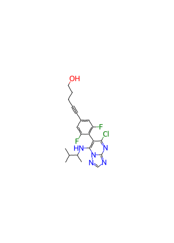 CC(C)C(C)Nc1c(-c2c(F)cc(C#CCCCO)cc2F)c(Cl)nc2ncnn12